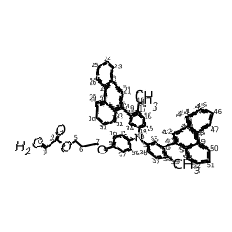 C=CC(=O)OCCCOc1ccc(N(c2ccc(C)c(-c3cc4ccccc4c4ccccc34)c2)c2ccc(C)c(-c3cc4ccccc4c4ccccc34)c2)cc1